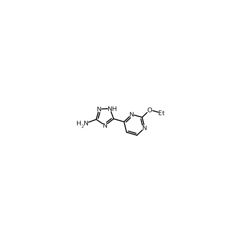 CCOc1nccc(-c2nc(N)n[nH]2)n1